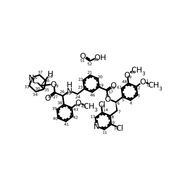 COc1ccc([C@@H](Cc2c(Cl)cncc2Cl)OC(=O)c2cccc(CNC(C(=O)O[C@H]3CN4CCC3CC4)c3ccccc3OC)c2)cc1OC.O=CO